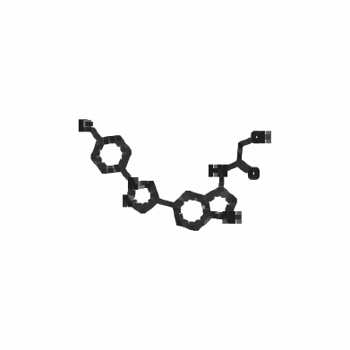 CCc1ccc(-n2cc(-c3ccc4[nH]cc(NC(=O)CO)c4c3)cn2)cc1